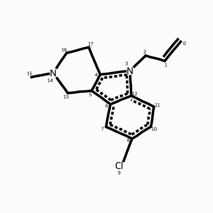 C=CCn1c2c(c3cc(Cl)ccc31)CN(C)CC2